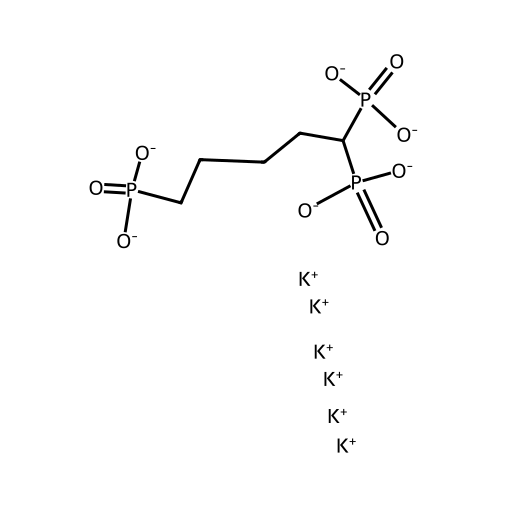 O=P([O-])([O-])CCCCC(P(=O)([O-])[O-])P(=O)([O-])[O-].[K+].[K+].[K+].[K+].[K+].[K+]